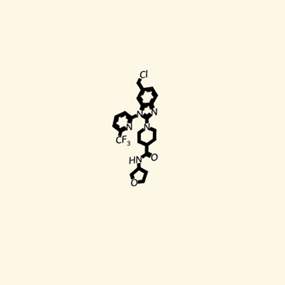 O=C(NC1CCOC1)C1CCN(c2nc3ccc(CCl)cc3n2-c2cccc(C(F)(F)F)n2)CC1